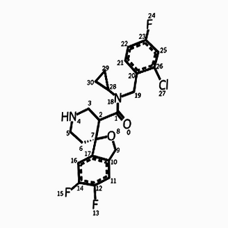 O=C(C1CNCC[C@@]12OCc1cc(F)c(F)cc12)N(Cc1ccc(F)cc1Cl)C1CC1